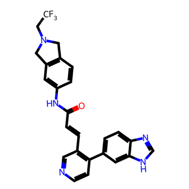 O=C(/C=C/c1cnccc1-c1ccc2nc[nH]c2c1)Nc1ccc2c(c1)CN(CC(F)(F)F)C2